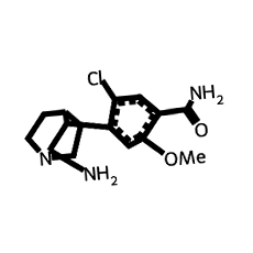 COc1cc(C2C3CCN(CC3)C2N)c(Cl)cc1C(N)=O